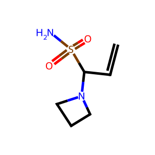 C=CC(N1CCC1)S(N)(=O)=O